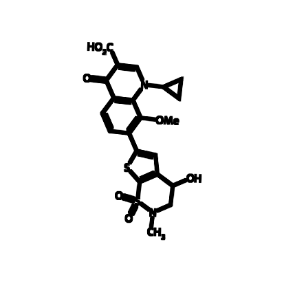 COc1c(-c2cc3c(s2)S(=O)(=O)N(C)CC3O)ccc2c(=O)c(C(=O)O)cn(C3CC3)c12